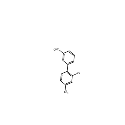 O=Cc1cccc(-c2ccc(C(F)(F)F)[c]c2Cl)c1